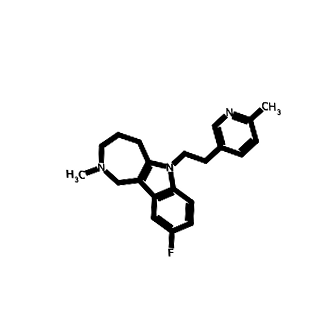 Cc1ccc(CCn2c3c(c4cc(F)ccc42)CN(C)CCC3)cn1